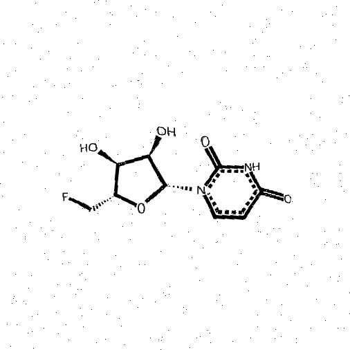 O=c1ccn([C@@H]2O[C@H](CF)[C@@H](O)[C@H]2O)c(=O)[nH]1